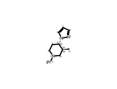 CC(C)N1CC[C@H](n2cccn2)[C@@H](C)C1